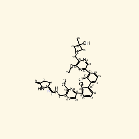 C=C1CC/C(=C\NCc2ncc(-c3cccc(-c4cccc(-c5cnc(CN6CC(C)(O)C6)c(OC)n5)c4Cl)c3Cl)nc2OC)N1